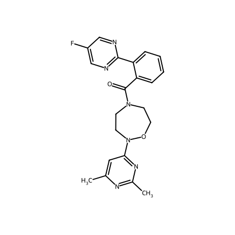 Cc1cc(N2CCN(C(=O)c3ccccc3-c3ncc(F)cn3)CCO2)nc(C)n1